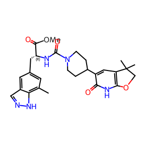 COC(=O)[C@@H](Cc1cc(C)c2[nH]ncc2c1)NC(=O)N1CCC(c2cc3c([nH]c2=O)OCC3(C)C)CC1